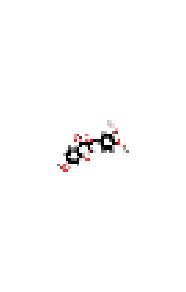 COc1ccc2c(c1)OCC1(OC1c1ccc(OC)c(OC)c1)C2=O